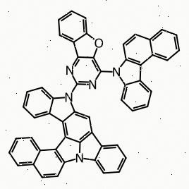 c1ccc2c(c1)ccc1c2c2ccccc2n1-c1nc(-n2c3ccccc3c3c4c5c6ccccc6ccc5n5c6ccccc6c(cc32)c45)nc2c1oc1ccccc12